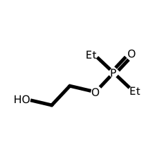 CCP(=O)(CC)OCCO